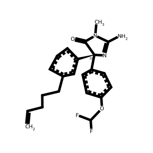 C=CCCCc1cccc([C@]2(c3ccc(OC(F)F)cc3)N=C(N)N(C)C2=O)c1